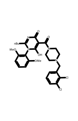 CCCCc1nc(=O)c(C(=O)N2CCN(Cc3cccc(Cl)c3Cl)CC2)c(O)n1-c1c(OC)cccc1OC